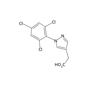 O=C(O)Cc1cnn(-c2c(Cl)cc(Cl)cc2Cl)c1